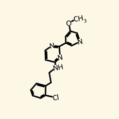 COc1cncc(-c2nccc(NCCc3ccccc3Cl)n2)c1